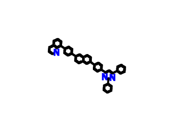 c1ccc(-c2cc(-c3ccc(-c4ccc5cc(-c6ccc(-c7cccc8cccnc78)cc6)ccc5c4)cc3)nc(-c3ccccc3)n2)cc1